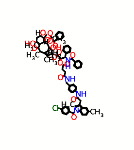 CC(=O)O[C@@]12CO[C@@H]1C[C@H](O)[C@@]1(C)C(=O)[C@H](C)C3=C(C)C(OC(=O)C(OC(=O)CCC(=O)NCc4ccc(NC(=O)Cc5c(C)n(C(=O)c6ccc(Cl)cc6)c6ccc(C)cc56)cc4)[C@@H](NC(=O)c4ccccc4)c4ccccc4)C[C@@](O)([C@@H](OC(=O)c4ccccc4)[C@H]21)C3(C)C